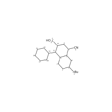 CCCCC1CCC2C(C1)C(C#N)CC(C(=O)O)C2C1CCCCC1